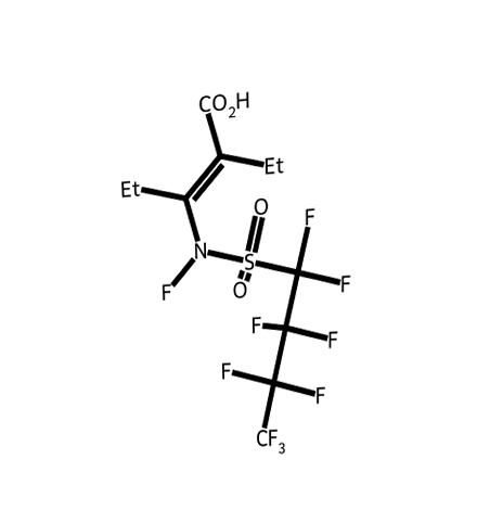 CCC(C(=O)O)=C(CC)N(F)S(=O)(=O)C(F)(F)C(F)(F)C(F)(F)C(F)(F)F